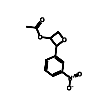 CC(=O)OC1COC1c1cccc([N+](=O)[O-])c1